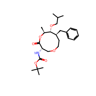 CC(C)CO[C@@H]1[C@@H](Cc2ccccc2)CCOC[C@H](NC(=O)OC(C)(C)C)C(=O)O[C@H]1C